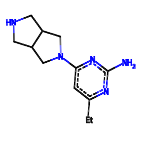 CCc1cc(N2CC3CNCC3C2)nc(N)n1